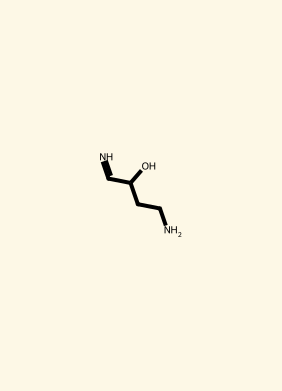 N=CC(O)CCN